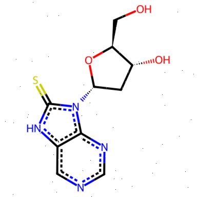 OC[C@@H]1O[C@@H](n2c(=S)[nH]c3cncnc32)C[C@H]1O